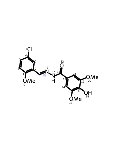 COc1ccc(Cl)cc1/C=N/NC(=O)c1cc(OC)c(O)c(OC)c1